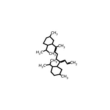 C=CC=C(CCC=C(C)C1CC(C)CCC1C(C)C)C1CC(C)CCC1C(C)C